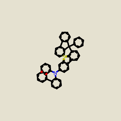 c1ccc(-c2ccccc2N(c2ccccc2)c2ccc3c(c2)sc2c(C4(c5ccccc5)c5ccccc5-c5ccccc54)cccc23)cc1